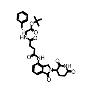 CC(C)(C)OC(=O)[C@@H](Cc1ccccc1)NC(=O)CCC(=O)Nc1cccc2c1CN(C1CCC(=O)NC1=O)C2=O